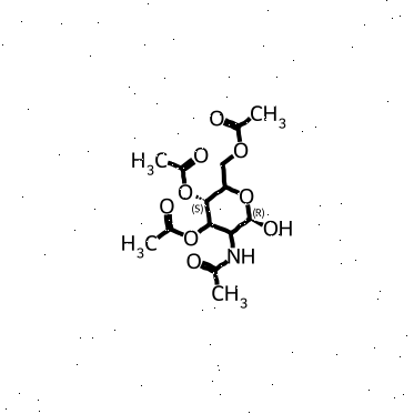 CC(=O)NC1C(OC(C)=O)[C@H](OC(C)=O)C(COC(C)=O)O[C@H]1O